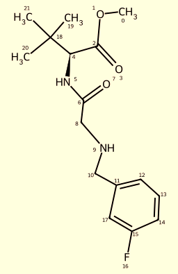 COC(=O)[C@@H](NC(=O)CNCc1cccc(F)c1)C(C)(C)C